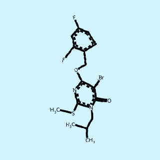 CSc1nc(OCc2ccc(F)cc2F)c(Br)c(=O)n1CC(C)C